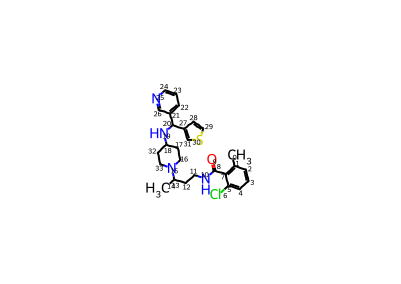 Cc1cccc(Cl)c1C(=O)NCCC(C)N1CCC(NC(c2cccnc2)c2ccsc2)CC1